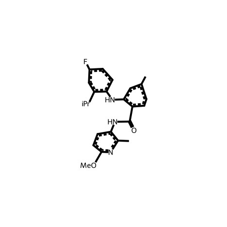 COc1ccc(NC(=O)c2ccc(C)cc2Nc2ccc(F)cc2C(C)C)c(C)n1